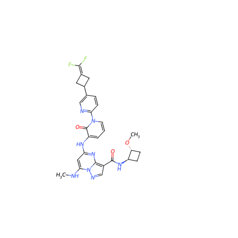 CNc1cc(Nc2cccn(-c3ccc(C4CC(=C(F)F)C4)cn3)c2=O)nc2c(C(=O)N[C@@H]3CC[C@H]3OC)cnn12